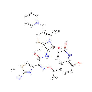 Nc1nc(/C(=N/OC(C(=O)O)c2ccc(O)c3[nH]c(=O)ccc23)C(=O)N[C@@H]2C(=O)N3C(C(=O)O)=C(C[n+]4ccccc4)CS[C@H]23)cs1.[NaH]